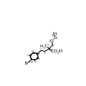 CCOOCC(C)(CCc1ccc(Br)cc1)C(=O)OCC